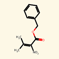 CC(C)=C(C(=O)OCc1ccccc1)[N+](=O)[O-]